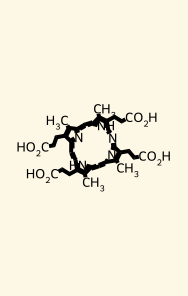 CC1=C(CCC(=O)O)c2cc3[nH]c(cc4nc(nc5[nH]c(cc1n2)c(C)c5CCC(=O)O)C(CCC(=O)O)=C4C)c(C)c3CCC(=O)O